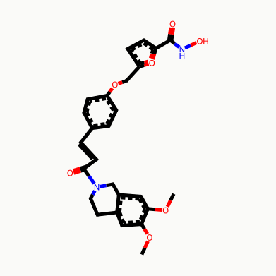 COc1cc2c(cc1OC)CN(C(=O)C=Cc1ccc(OCc3ccc(C(=O)NO)o3)cc1)CC2